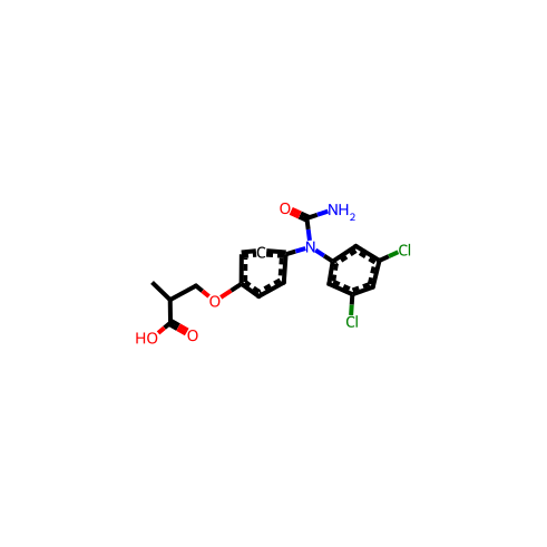 CC(COc1ccc(N(C(N)=O)c2cc(Cl)cc(Cl)c2)cc1)C(=O)O